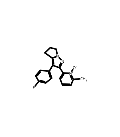 Cc1cccc(-c2nn3c(c2-c2ccc(F)cc2)CCC3)[n+]1[O-]